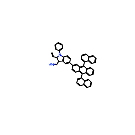 C=CC1C(C=N)c2cc(-c3ccc4c(-c5cccc6ccccc56)c5ccccc5c(-c5cccc6ccccc56)c4c3)ccc2N1c1ccccc1